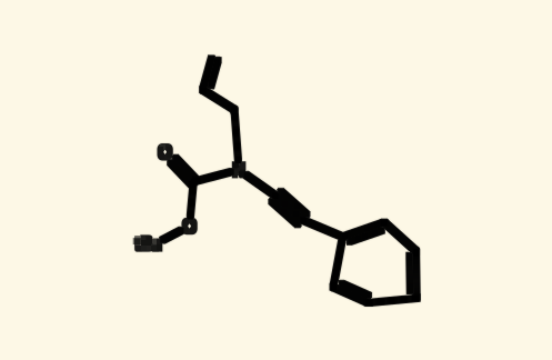 C=CCN(C#Cc1ccccc1)C(=O)OC(C)(C)C